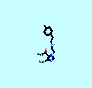 CNC(=O)c1c(NC)ncn1CCNCCc1ccc(C)cc1